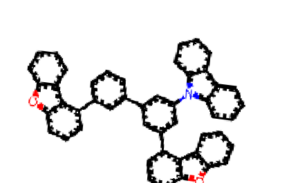 c1cc(-c2cc(-c3cccc4oc5ccccc5c34)cc(-n3c4ccccc4c4ccccc43)c2)cc(-c2cccc3oc4ccccc4c23)c1